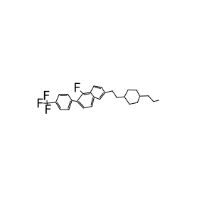 CCCC1CCC(CCc2ccc3c(F)c(-c4ccc(C(F)(F)F)cc4)ccc3c2)CC1